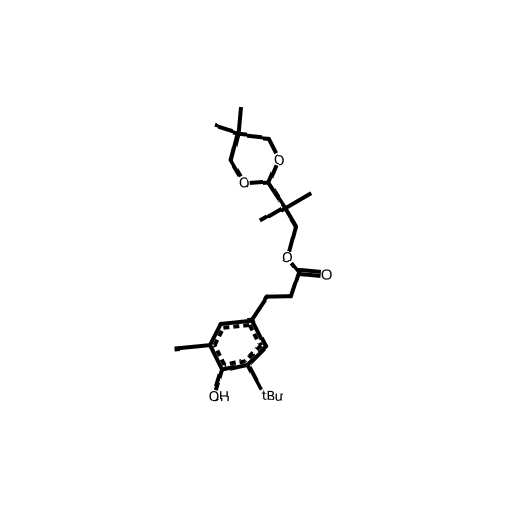 Cc1cc(CCC(=O)OCC(C)(C)C2OCC(C)(C)CO2)cc(C(C)(C)C)c1O